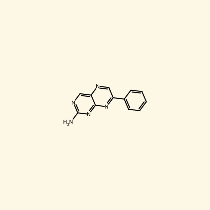 Nc1ncc2ncc(-c3ccccc3)nc2n1